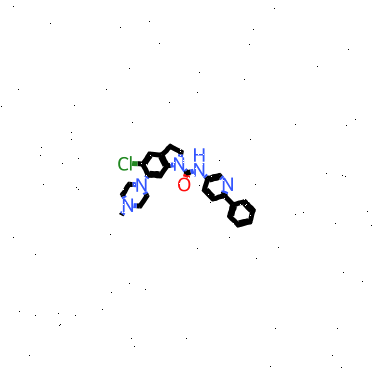 CN1CCN(c2cc3c(cc2Cl)CCN3C(=O)Nc2ccc(-c3ccccc3)nc2)CC1